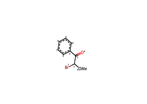 COC(Br)C(=O)c1ccccc1